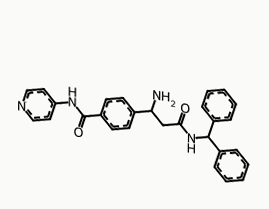 NC(CC(=O)NC(c1ccccc1)c1ccccc1)c1ccc(C(=O)Nc2ccncc2)cc1